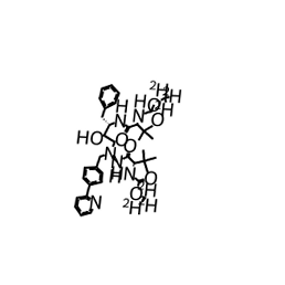 [2H]C([2H])([2H])OC(=O)N[C@H](C(=O)N[C@@H](Cc1ccccc1)[C@@H](O)CN(Cc1ccc(-c2ccccn2)cc1)NC(=O)[C@@H](NC(=O)OC([2H])([2H])[2H])C(C)(C)C)C(C)(C)C